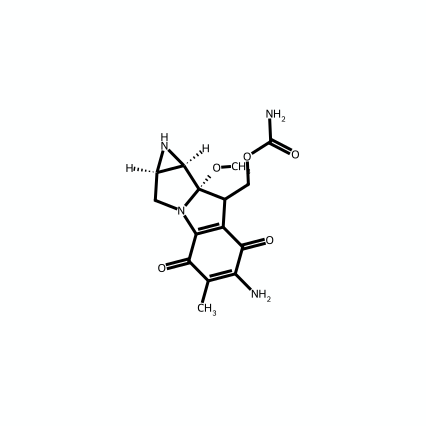 CO[C@]12C(COC(N)=O)C3=C(C(=O)C(C)=C(N)C3=O)N1C[C@H]1N[C@H]12